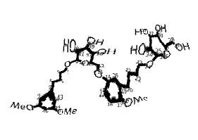 COc1cc(CCCCOC2OC(COc3ccc(OC)c(CCCCOC4OC(CO)C(O)C(O)C4O)c3)C(O)C(O)C2O)cc(OC)c1